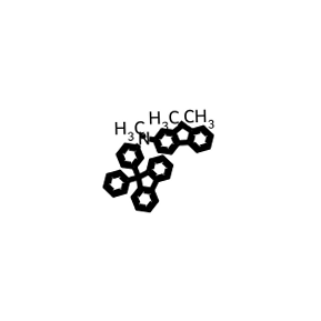 CN(c1cccc(C2(c3ccccc3)c3ccccc3-c3ccccc32)c1)c1ccc2c(c1)C(C)(C)c1ccccc1-2